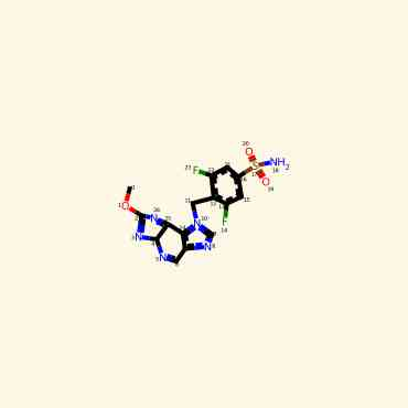 COC1=NC2N=Cc3ncn(Cc4c(F)cc(S(N)(=O)=O)cc4F)c3C2=N1